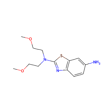 COCCN(CCOC)c1nc2ccc(N)cc2s1